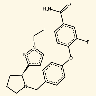 NC(=O)c1ccc(Oc2ccc(CN3CCC[C@H]3c3ccn(CI)n3)cc2)c(F)c1